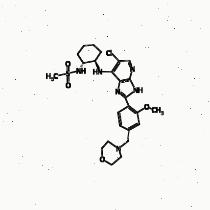 COc1cc(CN2CCOCC2)ccc1-c1nc2c(N[C@@H]3CCCC[C@H]3NS(C)(=O)=O)c(Cl)cnc2[nH]1